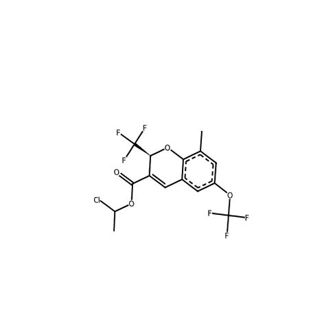 Cc1cc(OC(F)(F)F)cc2c1O[C@H](C(F)(F)F)C(C(=O)OC(C)Cl)=C2